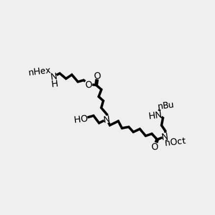 CCCCCCCCN(CCCNCCCC)C(=O)CCCCCCCCN(CCO)CCCCCC(=O)OCCCCCNCCCCCC